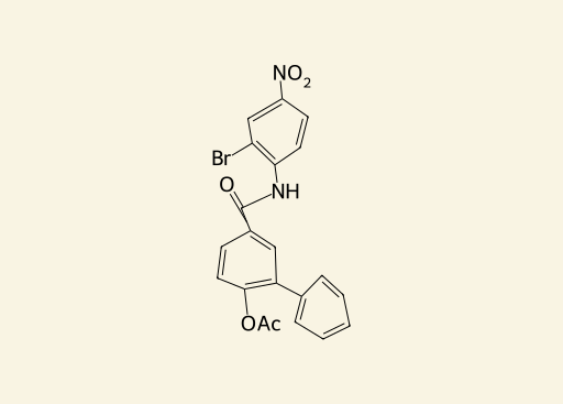 CC(=O)Oc1ccc(C(=O)Nc2ccc([N+](=O)[O-])cc2Br)cc1-c1ccccc1